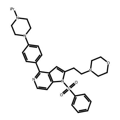 CC(C)N1CCN(c2ccc(-c3nccc4c3cc(CCN3CCOCC3)n4S(=O)(=O)c3ccccc3)cc2)CC1